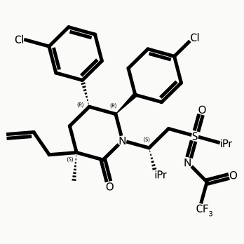 C=CC[C@@]1(C)C[C@H](c2cccc(Cl)c2)[C@@H](C2C=CC(Cl)=CC2)N([C@H](CS(=O)(=NC(=O)C(F)(F)F)C(C)C)C(C)C)C1=O